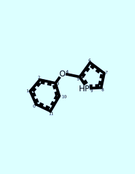 c1ccc(Oc2ccc[pH]2)cc1